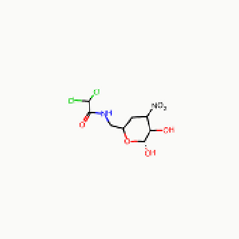 O=C(NCC1CC([N+](=O)[O-])C(O)[C@H](O)O1)C(Cl)Cl